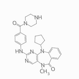 CN1C(=O)c2ccccc2N(C2CCCC2)c2nc(Nc3ccc(C(=O)N4CCNCC4)cc3)ncc21